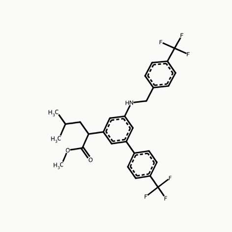 COC(=O)C(CC(C)C)c1cc(NCc2ccc(C(F)(F)F)cc2)cc(-c2ccc(C(F)(F)F)cc2)c1